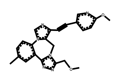 COCc1nnc2n1Cc1c(C#Cc3ccc(OC)nc3)ncn1-c1ccc(C)cc1-2